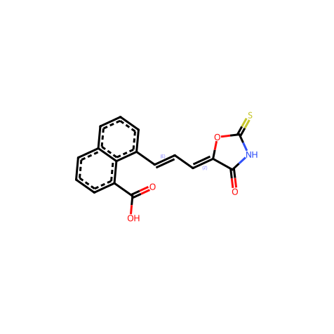 O=C1NC(=S)O/C1=C\C=C\c1cccc2cccc(C(=O)O)c12